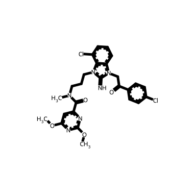 COc1cc(C(=O)N(C)CCCn2c(=N)n(CC(=O)c3ccc(Cl)cc3)c3cccc(Cl)c32)nc(OC)n1